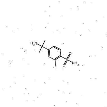 CC(C)(N)c1ccc(S(N)(=O)=O)c(F)c1